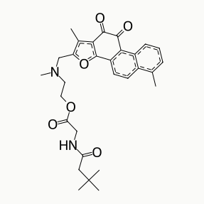 Cc1c(CN(C)CCOC(=O)CNC(=O)CC(C)(C)C)oc2c1C(=O)C(=O)c1c-2ccc2c(C)cccc12